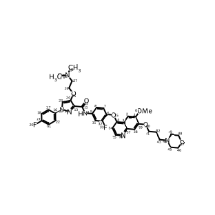 COc1cc2c(Oc3ccc(NC(=O)c4nn(-c5ccc(F)cc5)cc4OCCN(C)C)cc3F)ccnc2cc1OCCCN1CCOCC1